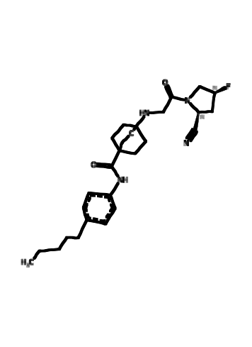 CCCCCc1ccc(NC(=O)C23CCC(NCC(=O)N4C[C@@H](F)C[C@H]4C#N)(CC2)CC3)cc1